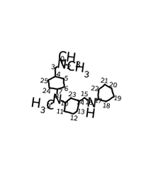 CN(C)CC1CCC(N(C)C2CCCC(CNC3CCCCC3)C2)CC1